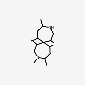 CC1CC(C)C2(C(C)CN1)C(C)CC(C)N(C)CC2C